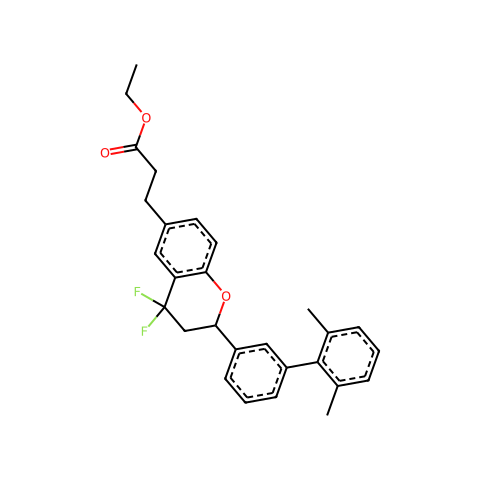 CCOC(=O)CCc1ccc2c(c1)C(F)(F)CC(c1cccc(-c3c(C)cccc3C)c1)O2